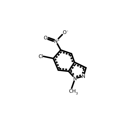 Cn1ncc2cc([N+](=O)[O-])c(Cl)cc21